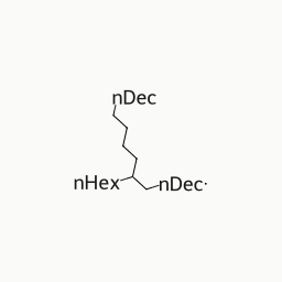 CCCCCCCCC[CH]CC(CCCCCC)CCCCCCCCCCCCCC